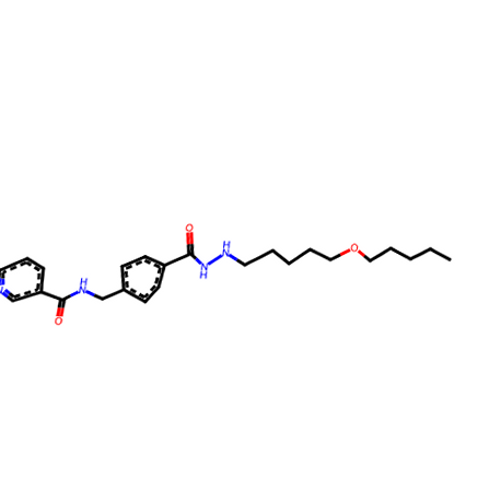 CCCCCOCCCCCNNC(=O)c1ccc(CNC(=O)c2cccnc2)cc1